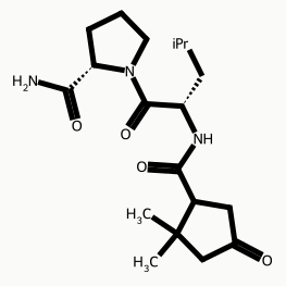 CC(C)C[C@H](NC(=O)C1CC(=O)CC1(C)C)C(=O)N1CCC[C@H]1C(N)=O